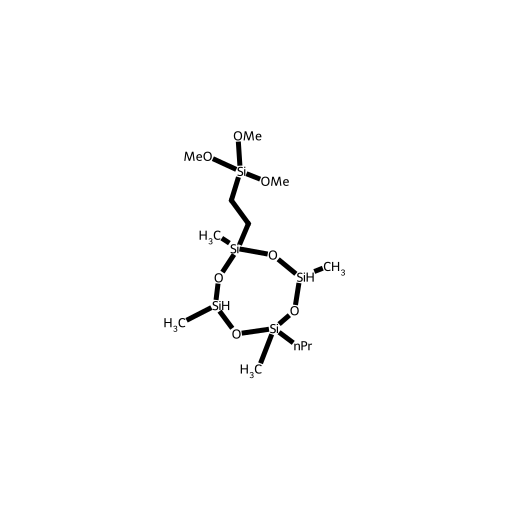 CCC[Si]1(C)O[SiH](C)O[Si](C)(CC[Si](OC)(OC)OC)O[SiH](C)O1